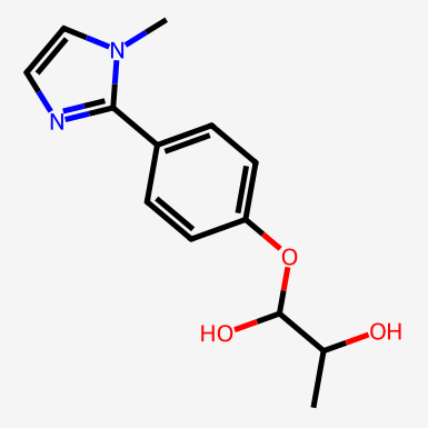 CC(O)C(O)Oc1ccc(-c2nccn2C)cc1